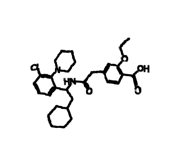 CCOc1cc(CC(=O)NC(CC2CCCCC2)c2cccc(Cl)c2N2CCCCC2)ccc1C(=O)O